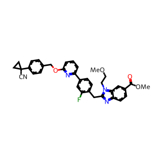 COCCn1c(Cc2ccc(-c3cccc(OCc4ccc(C5(C#N)CC5)cc4)n3)cc2F)nc2ccc(C(=O)OC)cc21